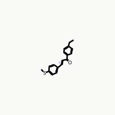 CCc1ccc(C(=O)/C=C/c2ccc(SC)cc2)cc1